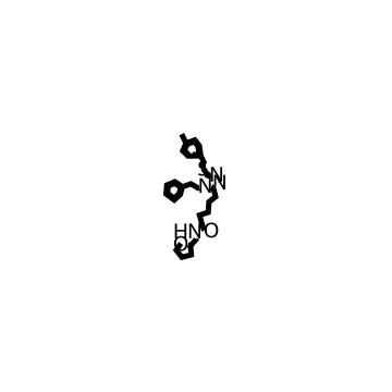 Cc1ccc(CSc2nnc(CCCCC(=O)NCC3CCCO3)n2CCc2ccccc2)cc1